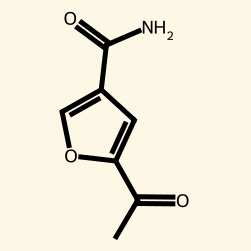 CC(=O)c1cc(C(N)=O)co1